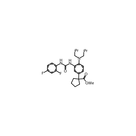 COC(=O)C1(c2ccc(N(CC(C)C)CC(C)C)c(NC(=O)Nc3ccc(F)cc3F)c2)CCCC1